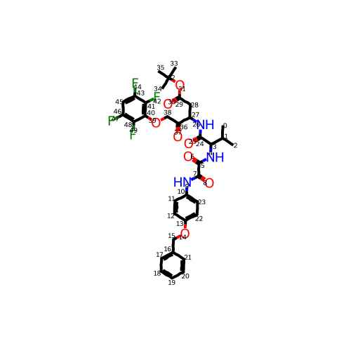 CC(C)C(NC(=O)C(=O)Nc1ccc(OCc2ccccc2)cc1)C(=O)NC(CC(=O)OC(C)(C)C)C(=O)COc1c(F)c(F)cc(F)c1F